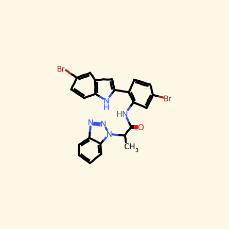 CC(C(=O)Nc1cc(Br)ccc1-c1cc2cc(Br)ccc2[nH]1)n1nnc2ccccc21